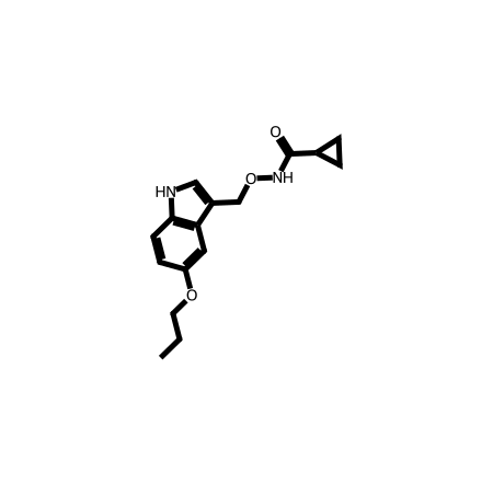 CCCOc1ccc2[nH]cc(CONC(=O)C3CC3)c2c1